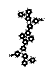 [C-]#[N+]c1ccc(N(c2ccc(-c3ccc([Si](c4ccccc4)(c4ccccc4)c4ccc(-c5ccc(N(c6ccc(C#N)cc6)c6ccc7c(c6)c6ccccc6n7-c6ccccc6)cc5)cc4)cc3)cc2)c2ccc3c(c2)c2ccccc2n3-c2ccccc2)cc1